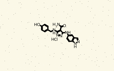 Cl.NC(=O)C1=C(NCc2ccc(O)cc2)N=NC1Nc1ccc2[nH]ncc2c1